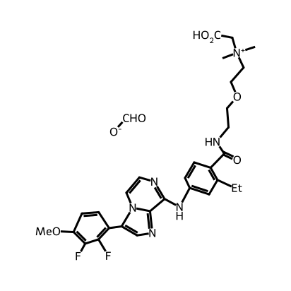 CCc1cc(Nc2nccn3c(-c4ccc(OC)c(F)c4F)cnc23)ccc1C(=O)NCCOCC[N+](C)(C)CC(=O)O.O=C[O-]